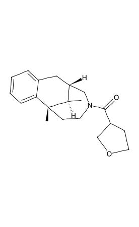 C[C@@H]1[C@@H]2Cc3ccccc3[C@@]1(C)CCN(C(=O)C1CCOC1)C2